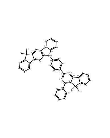 CC1(C)c2ccccc2-c2cc3c(cc21)c1ccccc1n3-c1ccc(-c2nc(-c3ccccc3)c3c(n2)-c2ccccc2C3(C)C)cc1